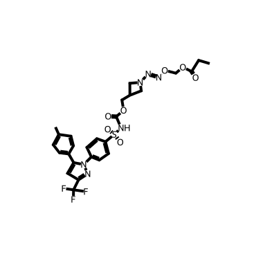 CCC(=O)OCON=NN1CC(COC(=O)NS(=O)(=O)c2ccc(-n3nc(C(F)(F)F)cc3-c3ccc(C)cc3)cc2)C1